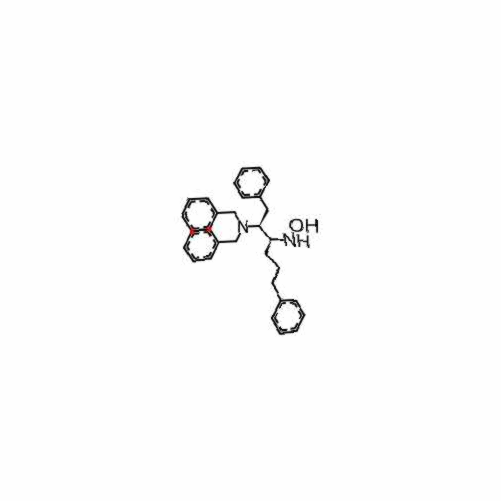 ON[C@@H](CCCc1ccccc1)[C@H](Cc1ccccc1)N(Cc1ccccc1)Cc1ccccc1